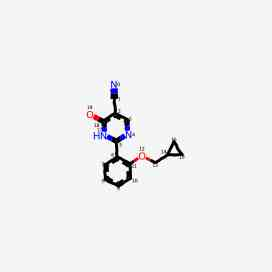 N#Cc1cnc(-c2ccccc2OCC2CC2)[nH]c1=O